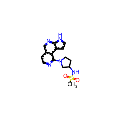 CS(=O)(=O)NC1CCN(c2nccc3cnc4[nH]ccc4c23)C1